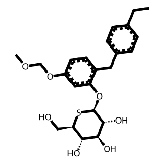 CCc1ccc(Cc2ccc(OCOC)cc2O[C@@H]2S[C@H](CO)[C@@H](O)[C@H](O)[C@H]2O)cc1